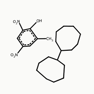 C1CCCC(C2CCCCCCC2)CCC1.Cc1cc([N+](=O)[O-])cc([N+](=O)[O-])c1O